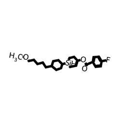 COCCCCCC1CCC([SiH]2CCC(OC(=O)c3ccc(F)cc3)CC2)CC1